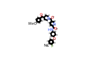 COc1ccc(C(=O)C2CCN(C(=O)c3ccc(C(=O)N[C@H]4CC[C@@H](Oc5ccc(C#N)c(F)c5)CC4)nc3)CC2)cc1